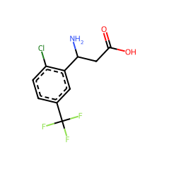 NC(CC(=O)O)c1cc(C(F)(F)F)ccc1Cl